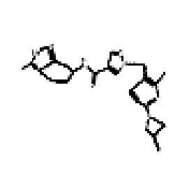 Cc1nc(N2CC(C)C2)ccc1Cn1cc(C(=O)NC2CCc3c2n[nH]c3C)cn1